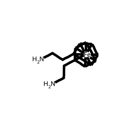 NCC[C]12[CH]3[CH]4[CH]5[CH]1[Fe]45321678[CH]2[CH]1[CH]6[C]7(CCN)[CH]28